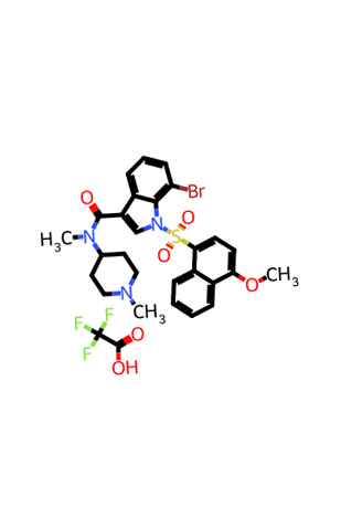 COc1ccc(S(=O)(=O)n2cc(C(=O)N(C)C3CCN(C)CC3)c3cccc(Br)c32)c2ccccc12.O=C(O)C(F)(F)F